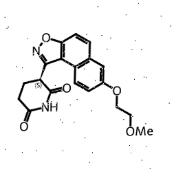 COCCOc1ccc2c(ccc3onc([C@@H]4CCC(=O)NC4=O)c32)c1